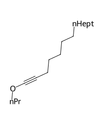 [CH2]CCOC#CCCCCCCCCCCCC